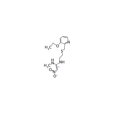 CCOc1cccnc1CSCCN/C(=C/[N+](=O)[O-])NC